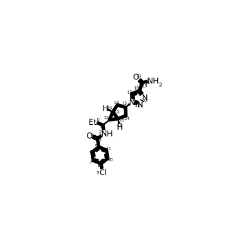 CCC(NC(=O)c1ccc(Cl)cc1)[C@H]1[C@@H]2C[C@@H](n3cc(C(N)=O)nn3)C[C@@H]21